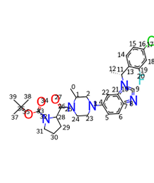 CC1CN(c2ccc3ncn([C@H](C)c4ccc(Cl)cc4F)c3c2)CCN1C(=O)C1CCCN1C(=O)OC(C)(C)C